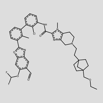 CCOCC12CCC(CCN3CCc4c(nc(C(=O)Nc5cccc(-c6cccc(-c7nc8cc(C=O)c(OC(F)F)cc8o7)c6C)c5Cl)n4C)C3)(CC1)C2